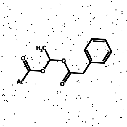 CC(=O)C(=O)OC(C)OC(=O)Cc1ccccc1